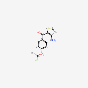 Nc1ncsc1C(=O)c1ccc(OC(F)F)cc1